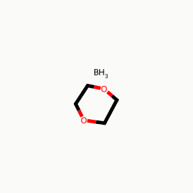 B.C1COCCO1